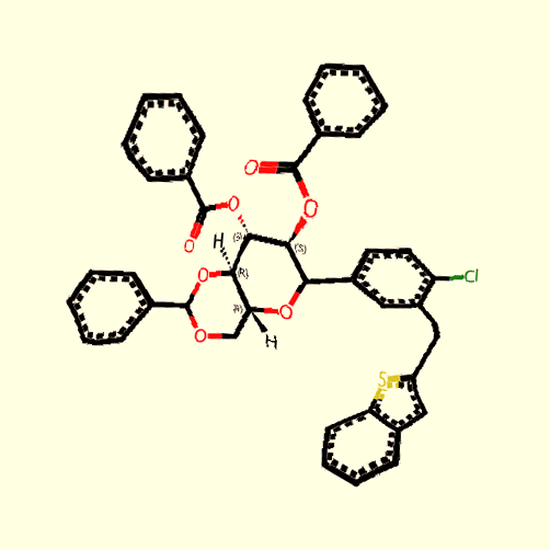 O=C(O[C@H]1[C@@H]2OC(c3ccccc3)OC[C@H]2OC(c2ccc(Cl)c(Cc3cc4ccccc4s3)c2)[C@@H]1OC(=O)c1ccccc1)c1ccccc1